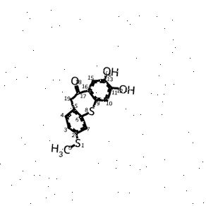 CSc1ccc2c(c1)Sc1cc(O)c(O)cc1C(=O)C2